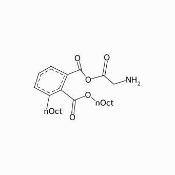 CCCCCCCCOC(=O)c1c(CCCCCCCC)cccc1C(=O)OC(=O)CN